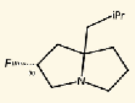 CC(C)CC12CCCN1C[C@H](F)C2